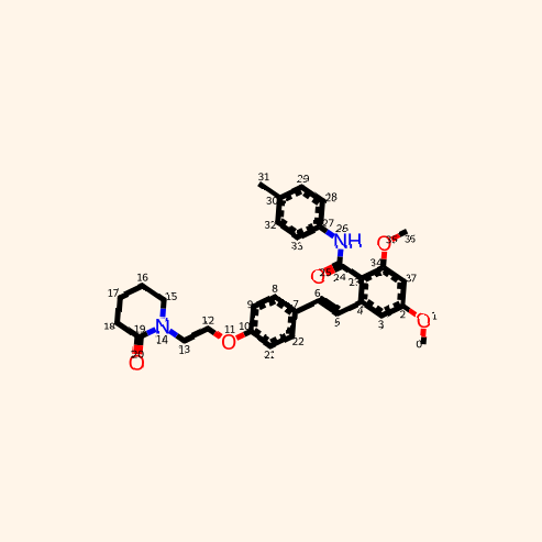 COc1cc(/C=C/c2ccc(OCCN3CCCCC3=O)cc2)c(C(=O)Nc2ccc(C)cc2)c(OC)c1